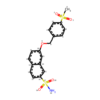 CS(=O)(=O)c1ccc(COc2ccc3ccc(S(N)(=O)=O)cc3c2)cc1